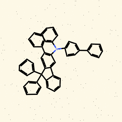 c1ccc(-c2ccc(N(c3ccccc3)c3cc4c(cc3-c3ccccc3)C(c3ccccc3)(c3ccccc3)c3ccccc3-4)cc2)cc1